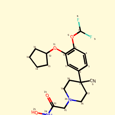 N#CC1(c2ccc(OC(F)F)c(OC3CCCC3)c2)CCN(CC(=O)NO)CC1